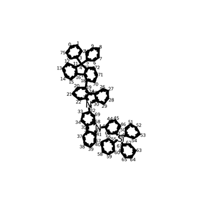 c1ccc(C2(c3ccccc3)c3ccccc3-c3c(-c4cccc5c4c4ccccc4n5-c4ccc5c6ccccc6n(-c6cccc([Si](c7ccccc7)(c7ccccc7)c7ccccc7)c6)c5c4)cccc32)cc1